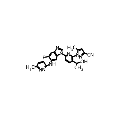 Cc1ccc(Nc2cc3c(cc2F)ncn3-c2ccc(C(C)O)c(-n3nc(C#N)cc3C)n2)nn1